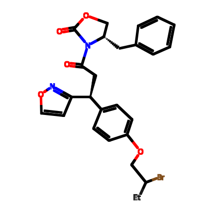 CCC(Br)COc1ccc([C@H](CC(=O)N2C(=O)OC[C@@H]2Cc2ccccc2)c2ccon2)cc1